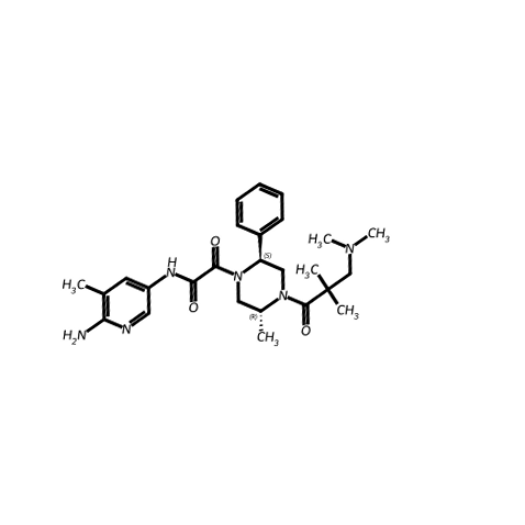 Cc1cc(NC(=O)C(=O)N2C[C@@H](C)N(C(=O)C(C)(C)CN(C)C)C[C@@H]2c2ccccc2)cnc1N